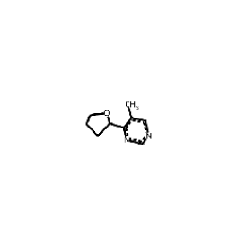 Cc1cn[c]nc1C1CCCO1